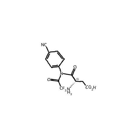 N#Cc1ccc(N(C(=O)[C@@H](N)CC(=O)O)C(=O)C(F)(F)F)cc1